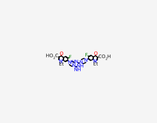 CCn1cc(C(=O)O)c(=O)c2cc(F)c(N3CCN(C(=N)NC(=N)N4CCN(c5cc6c(cc5F)c(=O)c(C(=O)O)cn6CC)CC4)CC3)cc21